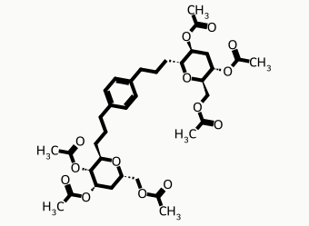 CC(=O)OC[C@@H]1C[C@H](OC(C)=O)[C@H](OC(C)=O)[C@@H](CCCc2ccc(CCC[C@H]3O[C@H](COC(C)=O)[C@@H](OC(C)=O)C[C@@H]3OC(C)=O)cc2)O1